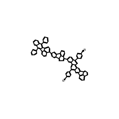 N#Cc1ccc(-c2cc3c4cc5c(cc4c(-c4ccc(C#N)cc4)cc3c3cc(-c4ccc6c7c(cccc47)-c4cc(-c7ccc8c9c(cccc79)-c7c-8c(-c8ccccc8)c8ccccc8c7-c7ccccc7)ccc4-6)ccc23)-c2cccc3cccc-5c23)cc1